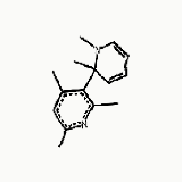 Cc1cc(C)c(C2(C)C=CC=CN2C)c(C)n1